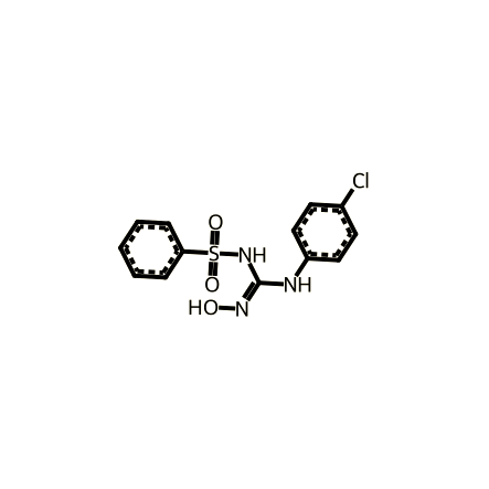 O=S(=O)(N/C(=N\O)Nc1ccc(Cl)cc1)c1ccccc1